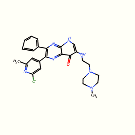 Cc1cc(-c2nc3c(=O)c(NCCN4CCN(C)CC4)c[nH]c3nc2-c2ccccc2)cc(Cl)n1